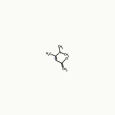 C=C(Cl)/C=C(/C)N(C)C